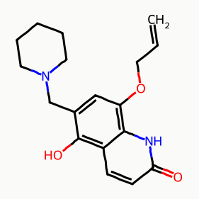 C=CCOc1cc(CN2CCCCC2)c(O)c2ccc(=O)[nH]c12